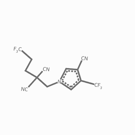 N#Cc1cn(CC(C#N)(C#N)CCC(F)(F)F)cc1C(F)(F)F